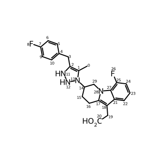 CC1=C(Cc2ccc(F)cc2)NNN1C1CCc2c(CC(=O)O)c3cccc(F)c3n2C1